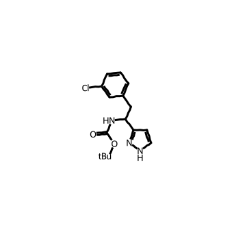 CC(C)(C)OC(=O)NC(Cc1cccc(Cl)c1)c1cc[nH]n1